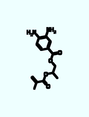 C=C(C)C(=O)OC(C)COC(=O)c1ccc(N)c(N)c1